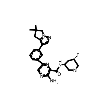 CC1(C)Cc2c(-c3cccc(-c4cnc(N)c(C(=O)N[C@@H]5CNC[C@@H](F)C5)n4)c3)cnn2C1